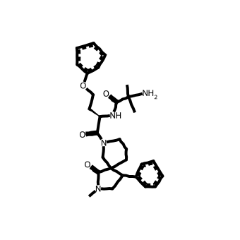 CN1CC(c2ccccc2)C2(CCCN(C(=O)[C@@H](CCOc3ccccc3)NC(=O)C(C)(C)N)C2)C1=O